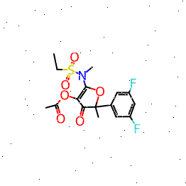 CCS(=O)(=O)N(C)C1=C(OC(C)=O)C(=O)C(C)(c2cc(F)cc(F)c2)O1